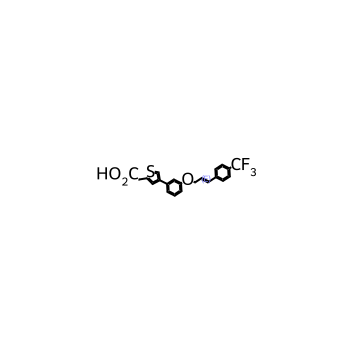 O=C(O)Cc1cc(-c2cccc(OC/C=C/c3ccc(C(F)(F)F)cc3)c2)cs1